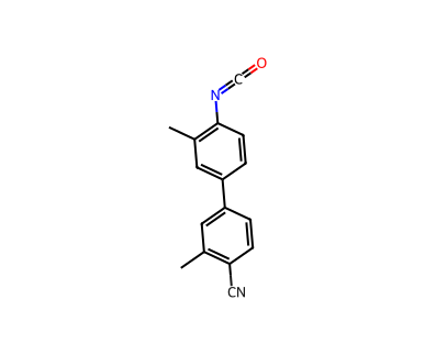 Cc1cc(-c2ccc(N=C=O)c(C)c2)ccc1C#N